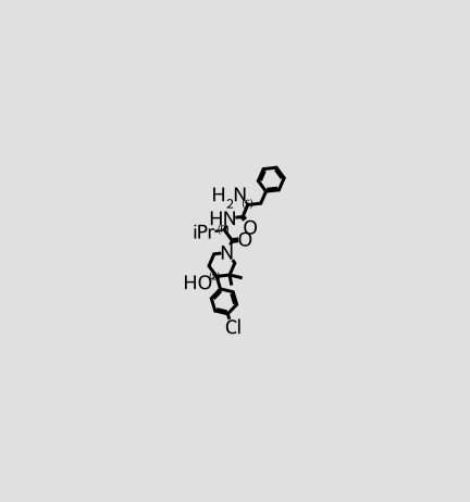 CC(C)[C@@H](NC(=O)[C@@H](N)Cc1ccccc1)C(=O)N1CC[C@](O)(c2ccc(Cl)cc2)C(C)(C)C1